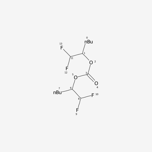 CCCCC(OC(=O)OC(CCCC)C(F)F)C(F)F